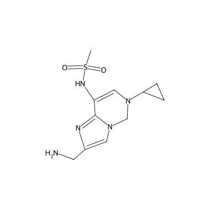 CS(=O)(=O)NC1=CN(C2CC2)Cn2cc(CN)nc21